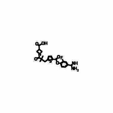 CC(C)(Cc1ccc(C(=O)Oc2ccc(C(=N)N)cc2F)s1)C(=O)N1CC(C(=O)O)C1